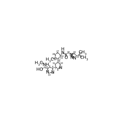 CNC(O)c1cc(-c2cncc(-c3cc(NC(=O)Cn4cc(C(C)C)nn4)ccc3C)c2)ncn1